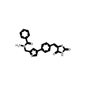 CN(Cc1cc(-c2ccc(/C=C3/SC(=O)NC3=O)cc2)cs1)C(=O)c1ccccc1